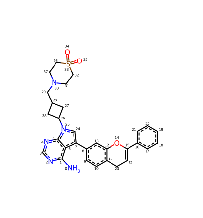 Nc1ncnc2c1c(-c1ccc3c(c1)OC(c1ccccc1)=CC3)cn2C1CC(CN2CCS(=O)(=O)CC2)C1